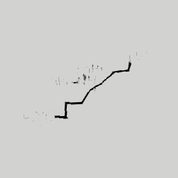 CCCCCCCCCCCCCCCCCC(=O)O.CCCCNCCCC